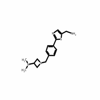 CN(C)C1CN(Cc2ccc(-c3ncc(CN)s3)cc2)C1